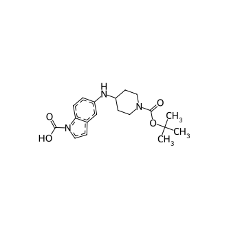 CC(C)(C)OC(=O)N1CCC(Nc2ccc3c(ccn3C(=O)O)c2)CC1